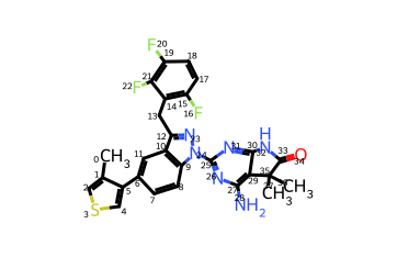 Cc1cscc1-c1ccc2c(c1)c(Cc1c(F)ccc(F)c1F)nn2-c1nc(N)c2c(n1)NC(=O)C2(C)C